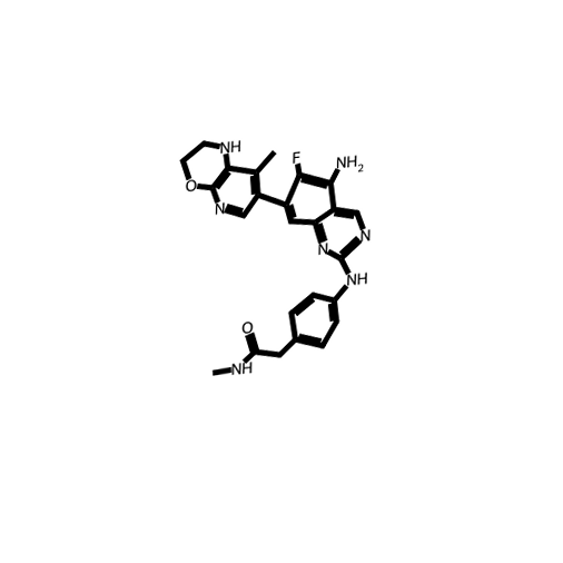 CNC(=O)Cc1ccc(Nc2ncc3c(N)c(F)c(-c4cnc5c(c4C)NCCO5)cc3n2)cc1